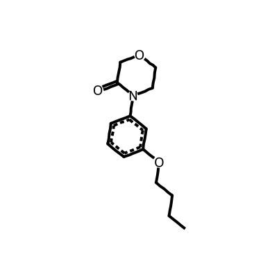 CCCCOc1cccc(N2CCOCC2=O)c1